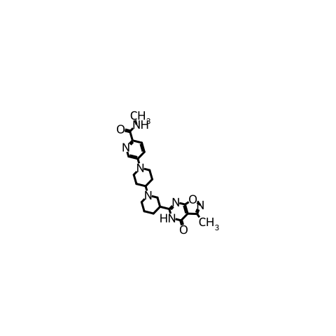 CNC(=O)c1ccc(N2CCC(N3CCCC(c4nc5onc(C)c5c(=O)[nH]4)C3)CC2)cn1